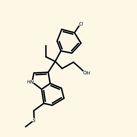 CCC(CCO)(c1ccc(Cl)cc1)c1c[nH]c2c(CSC)cccc12